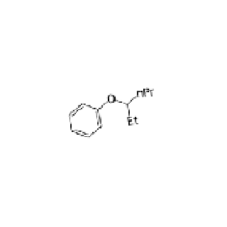 [CH2]CCC(CC)Oc1ccccc1